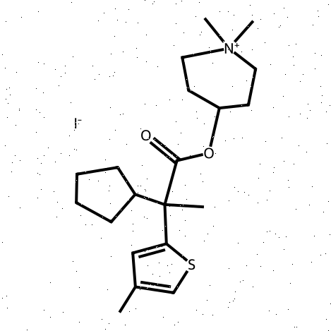 Cc1csc(C(C)(C(=O)OC2CC[N+](C)(C)CC2)C2CCCC2)c1.[I-]